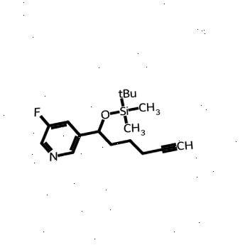 C#CCCCC(O[Si](C)(C)C(C)(C)C)c1cncc(F)c1